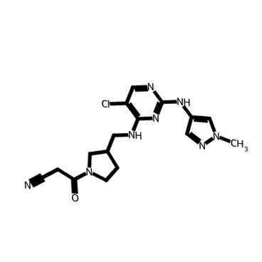 Cn1cc(Nc2ncc(Cl)c(NCC3CCN(C(=O)CC#N)C3)n2)cn1